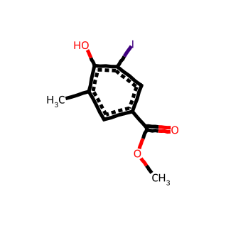 COC(=O)c1cc(C)c(O)c(I)c1